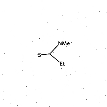 CCC([S])NC